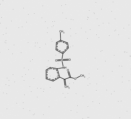 C=C(C(=O)OC)c1ccccc1NS(=O)(=O)c1ccc(C)cc1